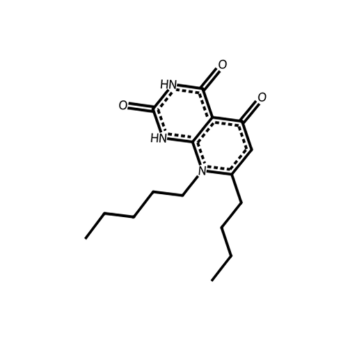 CCCCCn1c(CCCC)cc(=O)c2c(=O)[nH]c(=O)[nH]c21